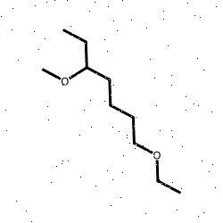 CCOC[CH]CCC(CC)OC